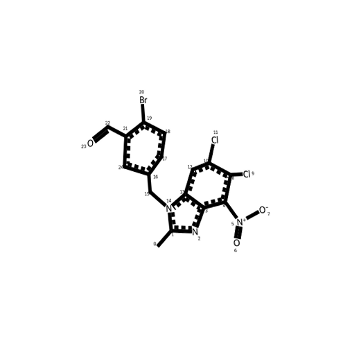 Cc1nc2c([N+](=O)[O-])c(Cl)c(Cl)cc2n1Cc1ccc(Br)c(C=O)c1